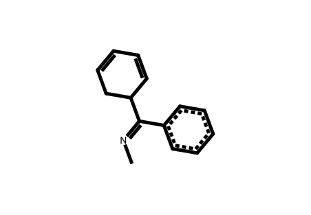 C/N=C(\c1ccccc1)C1C=CC=CC1